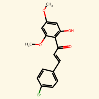 COc1cc(O)c(C(=O)C=Cc2ccc(Br)cc2)c(OC)c1